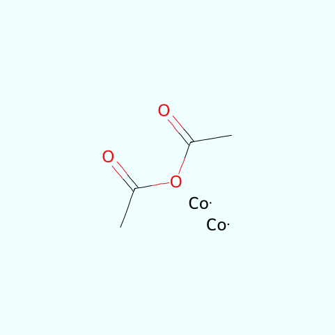 CC(=O)OC(C)=O.[Co].[Co]